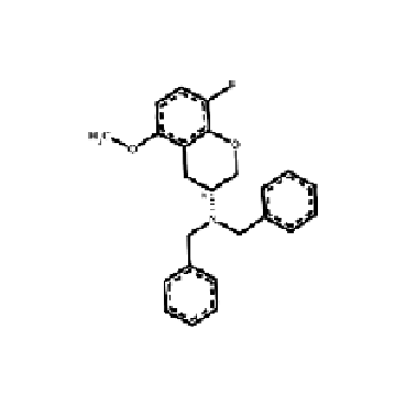 COc1ccc(F)c2c1C[C@@H](N(Cc1ccccc1)Cc1ccccc1)CO2